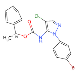 C[C@@H](OC(=O)Nc1c(Cl)cnn1-c1ccc(Br)cc1)c1ccccc1